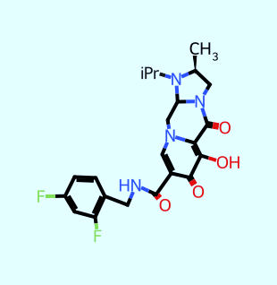 CC(C)N1C2Cn3cc(C(=O)NCc4ccc(F)cc4F)c(=O)c(O)c3C(=O)N2C[C@@H]1C